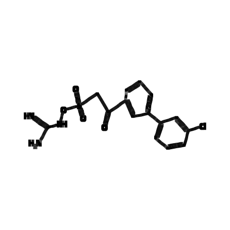 N=C(N)NOS(=O)(=O)CC(=O)c1cccc(-c2cccc(Cl)c2)c1